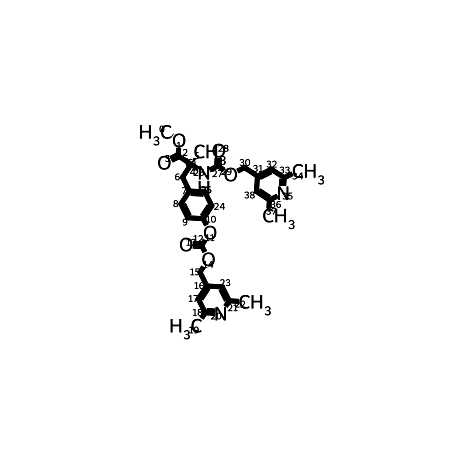 COC(=O)[C@](C)(Cc1ccc(OC(=O)OCc2cc(C)nc(C)c2)cc1)NC(=O)OCc1cc(C)nc(C)c1